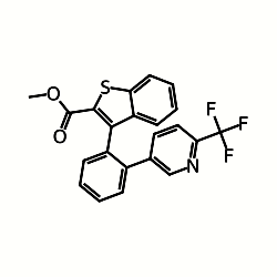 COC(=O)c1sc2ccccc2c1-c1ccccc1-c1ccc(C(F)(F)F)nc1